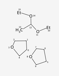 C1CCOC1.C1CCOC1.CCOC(C)OCC